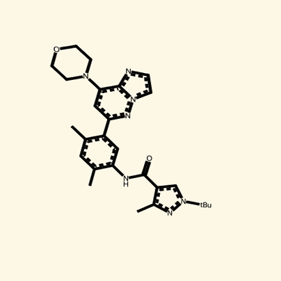 Cc1cc(C)c(-c2cc(N3CCOCC3)c3nccn3n2)cc1NC(=O)c1cn(C(C)(C)C)nc1C